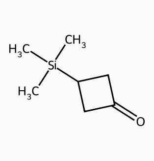 C[Si](C)(C)C1CC(=O)C1